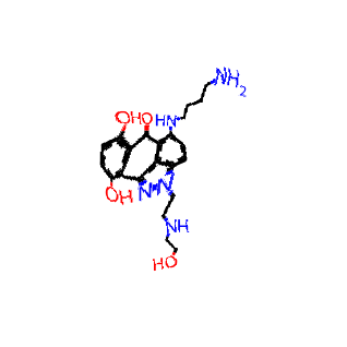 NCCCCNc1ccc2c3c(nn2CCNCCO)-c2c(O)ccc(O)c2C(=O)c13